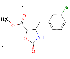 COC(=O)C1OC(=O)NC1Cc1cccc(Br)c1